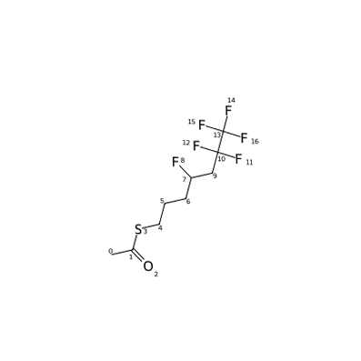 CC(=O)SCCCC(F)CC(F)(F)C(F)(F)F